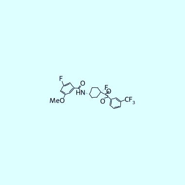 COc1cc(F)cc(C(=O)N[C@H]2CC[C@](F)(S(=O)(=O)c3cccc(C(F)(F)F)c3)CC2)c1